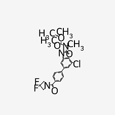 CN(C(=O)OC(C)(C)C)c1nc2cc(-c3ccc(C(=O)N4CC(F)(F)C4)cc3)cc(Cl)c2o1